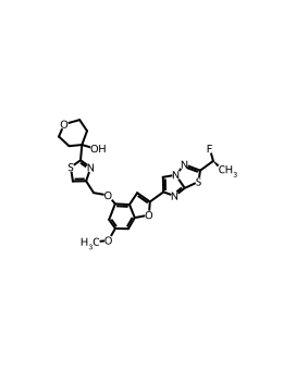 COc1cc(OCc2csc(C3(O)CCOCC3)n2)c2cc(-c3cn4nc([C@H](C)F)sc4n3)oc2c1